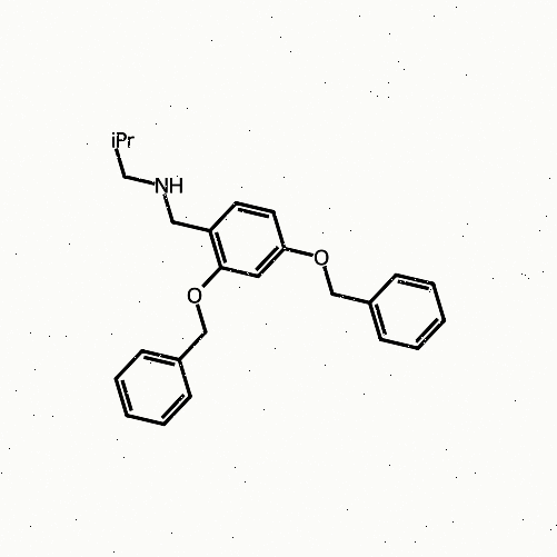 CC(C)CNCc1ccc(OCc2ccccc2)cc1OCc1ccccc1